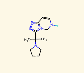 CC(C)(c1nnc2n1CN(F)C=C2)N1CCCC1